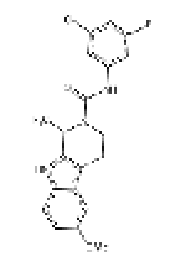 COc1ccc2[nH]c3c(c2c1)CCN(C(=O)Nc1cc(F)cc(Cl)c1)C3C(F)(F)F